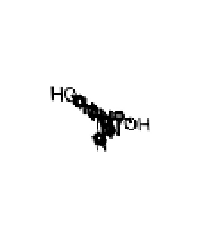 OC[C@@H]1CCN(c2nc(N3CCN(c4ccc(O)cc4)CC3)nc3c2ncn3-c2cccnc2)C1